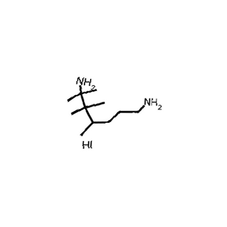 CC(CCCN)C(C)(C)C(C)(C)N.I